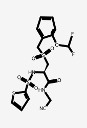 N#CCNC(=O)[C@H](CS(=O)(=O)Cc1ccccc1OC(F)F)NS(=O)(=O)c1cccs1